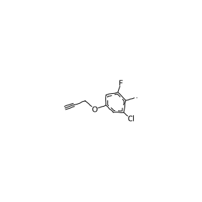 C#CCOc1cc(F)c([CH2])c(Cl)c1